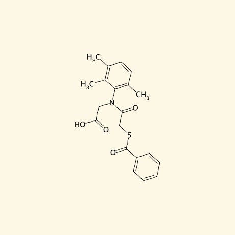 Cc1ccc(C)c(N(CC(=O)O)C(=O)CSC(=O)c2ccccc2)c1C